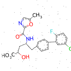 Cc1cnc(C(=O)NC(Cc2ccc(-c3cc(Cl)ccc3F)cc2)CC(O)C(=O)O)o1